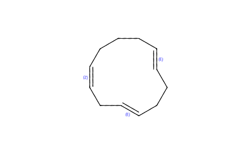 C1=C\CCC/C=C/CC/C=C/C/1